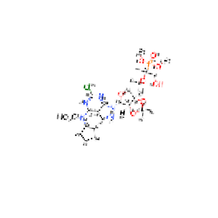 CCOP(=O)(OCC)C(C)(CO)OC[C@H]1O[C@@H](n2ncc3c(N(C(=O)O)C4CCCC4)nc(Cl)nc32)[C@@H]2OC(C)(C)O[C@@H]21